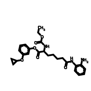 CCOC(=O)NC(CCCCC(=O)Nc1ccccc1N)C(=O)Oc1cccc(OC2CC2)c1